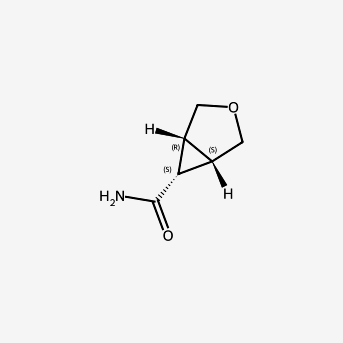 NC(=O)[C@@H]1[C@@H]2COC[C@@H]21